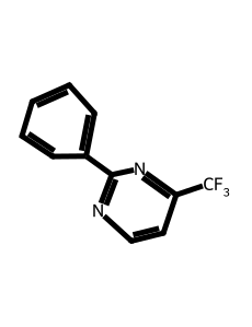 FC(F)(F)c1ccnc(-c2ccccc2)n1